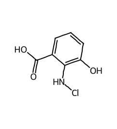 O=C(O)c1cccc(O)c1NCl